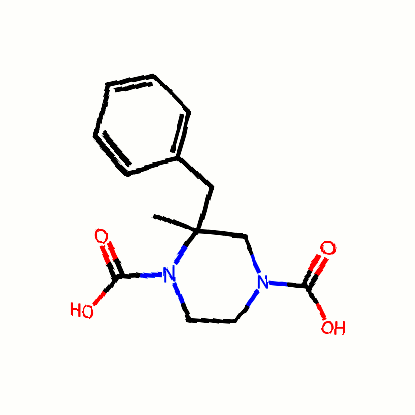 CC1(Cc2ccccc2)CN(C(=O)O)CCN1C(=O)O